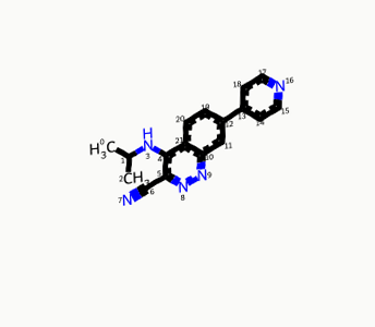 CC(C)Nc1c(C#N)nnc2cc(-c3ccncc3)ccc12